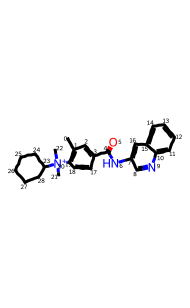 Cc1cc(C(=O)Nc2cnc3ccccc3c2)ccc1[N+](C)(C)C1CCCCC1